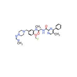 C=N/C=N\N1CCN(Cc2ccc(OCF)c(N(C)C(=O)CNC(=O)c3ncc(C)c(-c4ccccc4)n3)c2)CC1